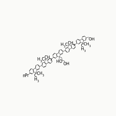 CCCc1ccc2c(c1)C(C)(C)c1cc(-c3ccc4c(c3)C(C)(C)c3cc(-c5ccc6c(c5)C(CO)(CCCO)c5cc(-c7ccc8c(c7)C(C)(C)c7cc(-c9ccc%10c(c9)C(C)(C)c9cc(CO)ccc9-%10)ccc7-8)ccc5-6)ccc3-4)ccc1-2